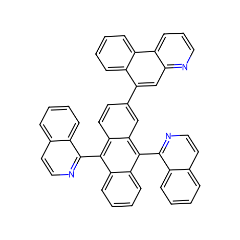 c1ccc2c(-c3c4ccccc4c(-c4nccc5ccccc45)c4cc(-c5cc6ncccc6c6ccccc56)ccc34)nccc2c1